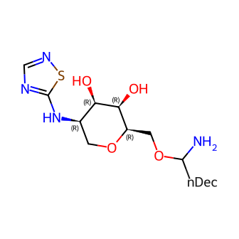 CCCCCCCCCCC(N)OC[C@H]1OC[C@@H](Nc2ncns2)[C@@H](O)[C@H]1O